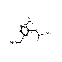 COC(=O)Cc1cc(CC#N)ccc1[N+](=O)[O-]